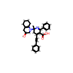 CC1(N2CC(=O)CC3=C2CCCC3)CC(C#Cc2ccccc2)=C(C(=O)O)C(c2ccccc2)=N1